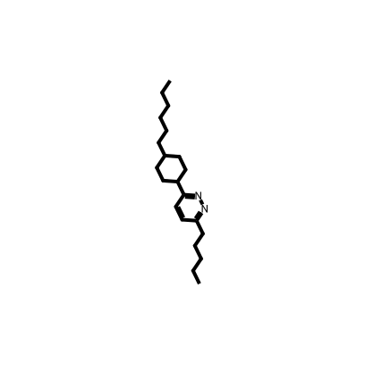 CCCCCCC1CCC(c2ccc(CCCCC)nn2)CC1